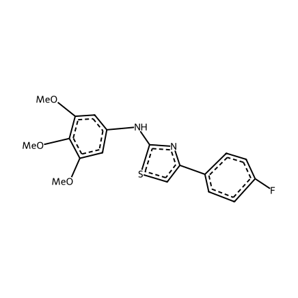 COc1cc(Nc2nc(-c3ccc(F)cc3)cs2)cc(OC)c1OC